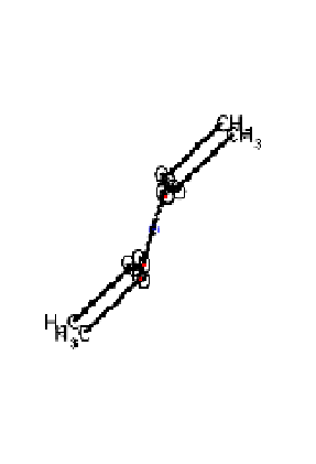 CC#CC#CC#CC#CC#CC#CC#CC#CC(=O)OCC(COC(=O)C#CC#CC#CC#CC#CC#CC#CC#CC)OC(=O)CCCCCCC/C=C/CCCCCCCC(=O)OC(COC(=O)C#CC#CC#CC#CC#CC#CC#CC#CC)COC(=O)C#CC#CC#CC#CC#CC#CC#CC#CC